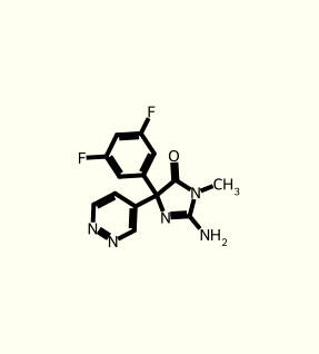 CN1C(=O)C(c2ccnnc2)(c2cc(F)cc(F)c2)N=C1N